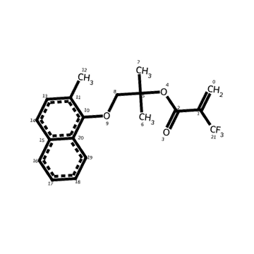 C=C(C(=O)OC(C)(C)COc1c(C)ccc2ccccc12)C(F)(F)F